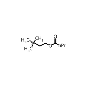 CCCC(=O)OCC[Si](C)(C)C